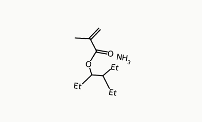 C=C(C)C(=O)OC(CC)C(CC)CC.N